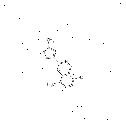 Cc1ccc(Cl)c2cnc(-c3cnn(C)c3)cc12